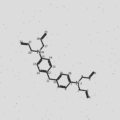 C=CCN(CC=C)c1ccc([CH]c2ccc(N(CC=C)CC=C)cc2)cc1